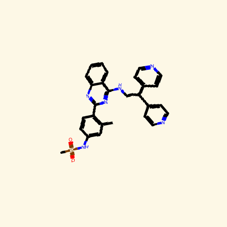 Cc1cc(NS(C)(=O)=O)ccc1-c1nc(NCC(c2ccncc2)c2ccncc2)c2ccccc2n1